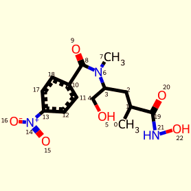 CC(CC(CO)N(C)C(=O)c1ccc([N+](=O)[O-])cc1)C(=O)NO